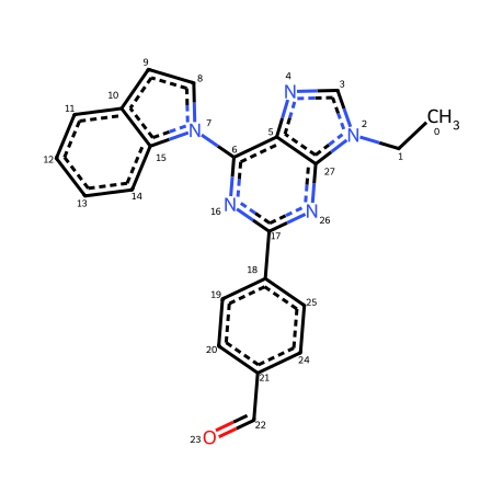 CCn1cnc2c(-n3ccc4ccccc43)nc(-c3ccc(C=O)cc3)nc21